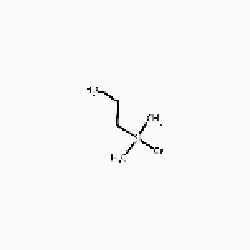 CCC[Si](C)(C)[Ce]